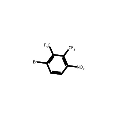 O=[N+]([O-])c1ccc(Br)c(C(F)(F)F)c1C(F)(F)F